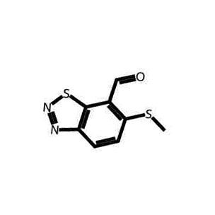 CSc1ccc2nnsc2c1C=O